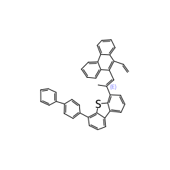 C=Cc1c(/C=C(\C)c2cccc3c2sc2c(-c4ccc(-c5ccccc5)cc4)cccc23)c2ccccc2c2ccccc12